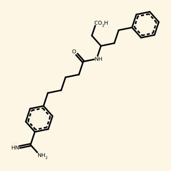 N=C(N)c1ccc(CCCCC(=O)NC(CCc2ccccc2)CC(=O)O)cc1